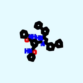 C1=C(c2cccc(-c3ccccc3)c2)N=C(c2cc(C3Nc4ccccc4O3)cc(C3Nc4ccccc4O3)c2)NC1c1cccc(-c2ccccc2)c1